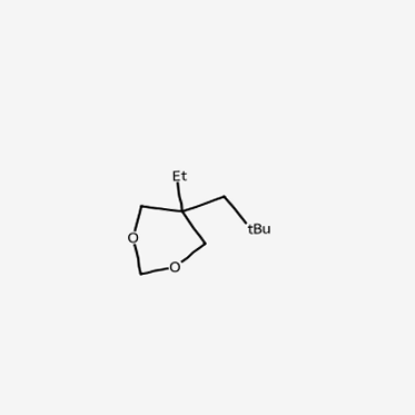 CCC1(CC(C)(C)C)COCOC1